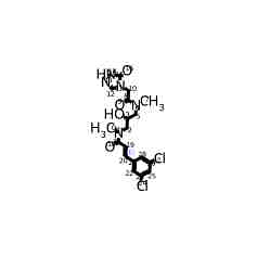 CN(CC(O)CN(C)C(=O)Cn1cn[nH]c1=O)C(=O)/C=C/c1cc(Cl)cc(Cl)c1